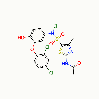 CC(=O)Nc1nc(C)c(S(=O)(=O)N(Cl)c2ccc(O)c(Oc3ccc(Cl)cc3Cl)c2)s1